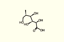 C[C@H](CO)[C@@H](O)[C@H](O)[C@@H](O)C(=O)O